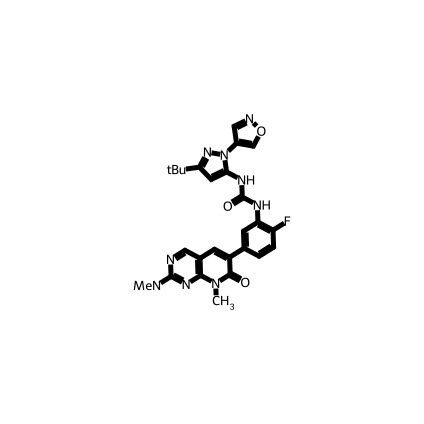 CNc1ncc2cc(-c3ccc(F)c(NC(=O)Nc4cc(C(C)(C)C)nn4-c4cnoc4)c3)c(=O)n(C)c2n1